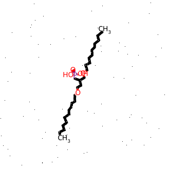 CCCCCCCCCCCCOCCC(COCCCCCCCCCCCC)CP(=O)(O)O